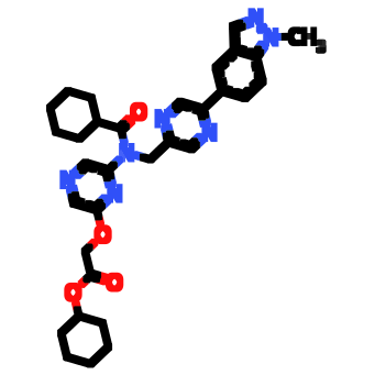 Cn1ncc2cc(-c3cnc(CN(C(=O)C4CCCCC4)c4cncc(OCC(=O)OC5CCCCC5)n4)cn3)ccc21